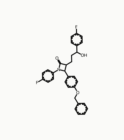 O=C1C(CCC(O)c2ccc(F)cc2)C(c2ccc(OCc3ccccc3)cc2)N1c1ccc(F)cc1